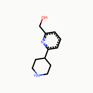 OCc1cccc(C2CCNCC2)n1